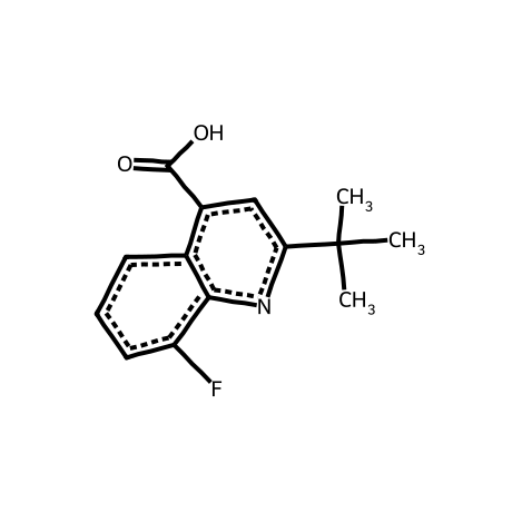 CC(C)(C)c1cc(C(=O)O)c2cccc(F)c2n1